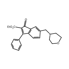 CCOC(=O)C1=C(c2ccccc2)c2ccc(CN3CCOCC3)cc2C1=O